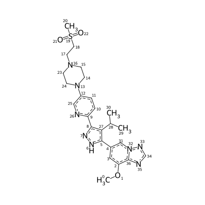 COc1cc(-c2[nH]nc(-c3ccc(N4CCN(CCS(C)(=O)=O)CC4)cn3)c2C(C)C)cn2ncnc12